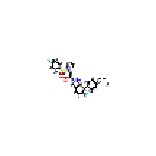 CC(C)N(CC(=O)NCc1ccc(F)c(-c2ccc(C(F)(F)F)cc2)c1)[S+]([O-])c1ccc(F)cc1